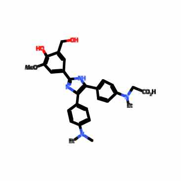 CCN(C)c1ccc(-c2nc(-c3cc(CO)c(O)c(OC)c3)[nH]c2-c2ccc(N(CC)CC(=O)O)cc2)cc1